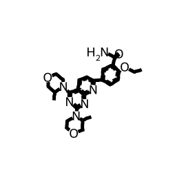 CCOc1ccc(-c2ccc3c(N4CCOCC4C)nc(N4CCOCC4C)nc3n2)cc1C(N)=O